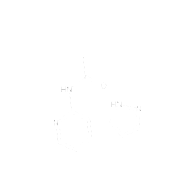 CC(=O)Nc1ccccn1.c1cn[nH]c1